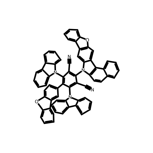 N#Cc1c(-n2c3ccccc3c3ccccc32)c(-c2ccc3oc4ccccc4c3c2)c(-n2c3ccccc3c3ccccc32)c(C#N)c1-n1c2cc3c(cc2c2c4ccccc4ccc21)oc1ccccc13